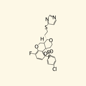 O=S(=O)(c1ccc(Cl)cc1)[C@@]12CCO[C@@H](CCSc3ccncn3)[C@@H]1COc1c(F)ccc(F)c12